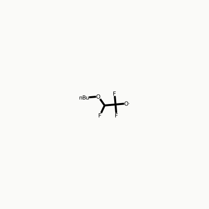 CCCCOC(F)C([O])(F)F